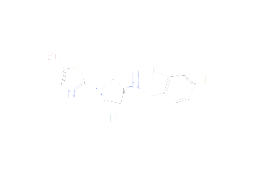 Cl.Fc1ccc(CN[C@H]2CCN(c3ncc(Br)s3)C2)c(Cl)c1